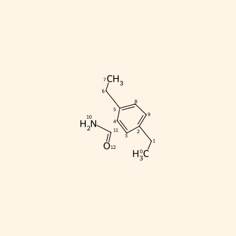 CCc1ccc(CC)cc1.NC=O